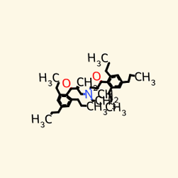 C=C(CN(CC)CC(=C)C(=O)c1c(CCC)cc(CCC)cc1CCC)C(=O)c1c(CCC)cc(CCC)cc1CCC